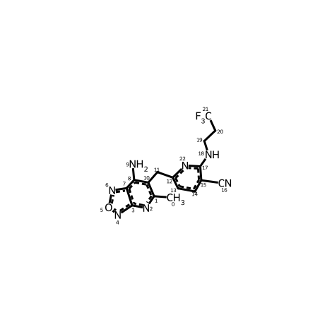 Cc1nc2nonc2c(N)c1Cc1ccc(C#N)c(NCCC(F)(F)F)n1